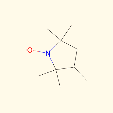 CC1CC(C)(C)N([O])C1(C)C